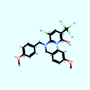 COc1ccc(CN(Cc2ccc(OC)cc2)c2nc(Br)c(C(F)(F)F)cc2F)cc1